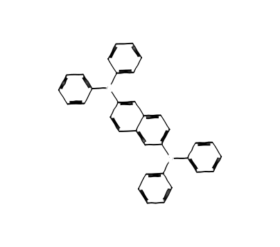 c1ccc(N(c2ccccc2)c2ccc3cc(N(c4ccccc4)c4ccccc4)ccc3c2)cc1